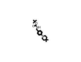 CC1(C)CCN(c2ccc(CNC(=O)OC(C)(C)C)cc2)CC1